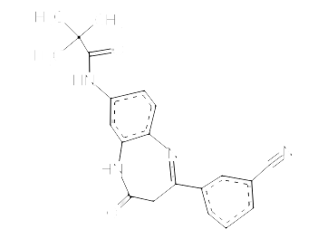 CC(C)(C)C(=O)Nc1ccc2c(c1)NC(=O)CC(c1cccc(C#N)c1)=N2